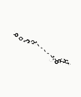 CC[C@@]1(O)C(=O)OCc2c1cc1n(c2=O)Cc2cc3c(CN(C)C(=O)CCOCCOCCOCCOCCNC(=O)C4CCN(c5ccc(C(=O)N[C@H]6CC[C@H](Oc7ccc(C#N)c(Cl)c7)CC6)nn5)CC4)c(O)ccc3nc2-1